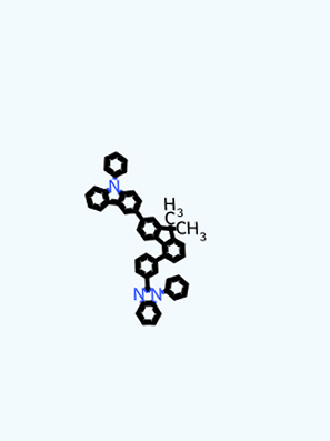 CC1(C)c2cc(-c3ccc4c(c3)c3ccccc3n4-c3ccccc3)ccc2-c2c(-c3cccc(-c4nc5ccccc5n4-c4ccccc4)c3)cccc21